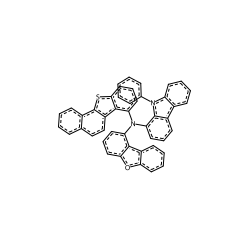 c1ccc(-n2c3ccccc3c3cccc(N(c4cccc5oc6ccccc6c45)c4cccc5sc6c7ccccc7ccc6c45)c32)cc1